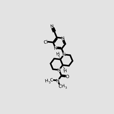 CN(C)C(=O)N1CCC[C@@H]2[C@H]1CCCN2c1cnc(C#N)c(Cl)n1